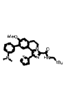 COc1cc2c(cc1-c1cccc(N(C)C)c1)-c1c(-c3cccs3)nc(C(=O)NCC(C)(C)C)n1CC2